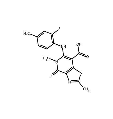 Cc1ccc(Nc2c(C(=O)O)c3sc(C)nc3c(=O)n2C)c(F)c1